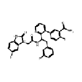 NC(=O)c1cc(-c2cccnc2C(Cc2cccc(F)c2)NC(=O)C[C@@H]2C(=O)Nc3ccc(F)cc32)ccc1F